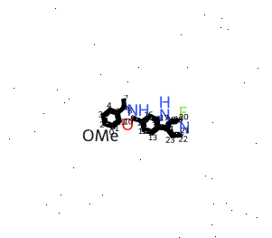 COc1cccc(C(C)NC(=O)c2ccc3c(c2)[nH]c2c(F)nccc23)c1